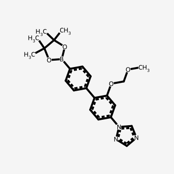 COCOc1cc(-n2cncn2)ccc1-c1ccc(B2OC(C)(C)C(C)(C)O2)cc1